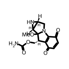 COC12[C@@H]3N[C@@H]3CN1C1=C(C(=O)C=CC1=O)[C@@H]2COC(N)=O